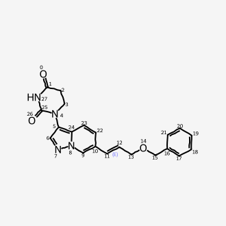 O=C1CCN(c2cnn3cc(/C=C/COCc4ccccc4)ccc23)C(=O)N1